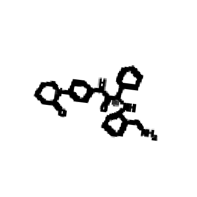 NCc1ccccc1N[C@H](C(=O)Nc1ccc(N2CCCCC2=O)cc1)c1ccccc1